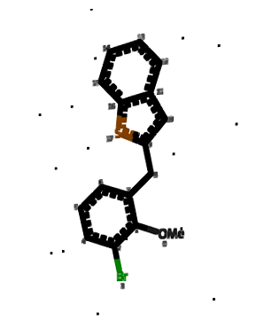 COc1c(Br)cccc1Cc1cc2ccccc2s1